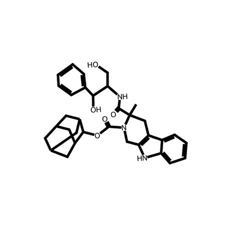 CC1(C(=O)NC(CO)C(O)c2ccccc2)Cc2c([nH]c3ccccc23)CN1C(=O)OC1C2CC3CC(C2)CC1C3